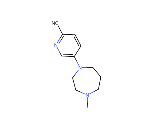 CN1CCCN(c2ccc(C#N)nc2)CC1